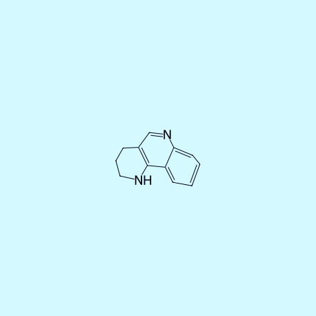 c1ccc2c3c(cnc2c1)CCCN3